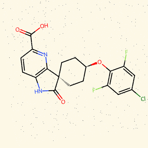 O=C(O)c1ccc2c(n1)[C@]1(CC[C@H](Oc3c(F)cc(Cl)cc3F)CC1)C(=O)N2